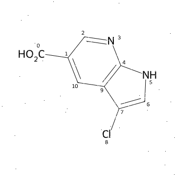 O=C(O)c1cnc2[nH]cc(Cl)c2c1